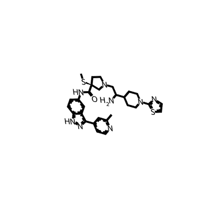 CS[C@@]1(C(=O)Nc2ccc3[nH]nc(-c4ccnc(C)c4)c3c2)CCN(CC(N)C2CCN(c3nccs3)CC2)C1